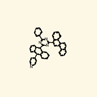 c1ccc(-c2nc(-c3c4ccccc4c(-c4ccncc4)c4ccccc34)nc(-c3cc4c5ccccc5ccc4c4ccccc34)n2)cc1